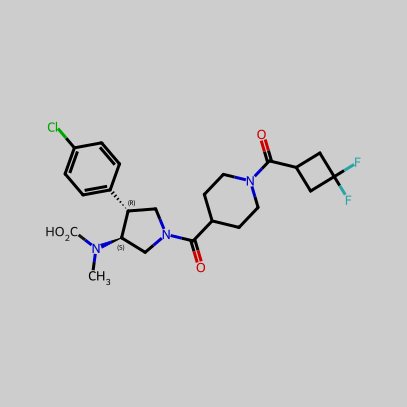 CN(C(=O)O)[C@@H]1CN(C(=O)C2CCN(C(=O)C3CC(F)(F)C3)CC2)C[C@H]1c1ccc(Cl)cc1